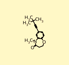 CN1C(=O)CCOc2ccc(C#CC(C)(C)C)cc21